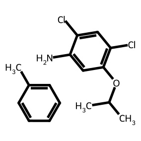 CC(C)Oc1cc(N)c(Cl)cc1Cl.Cc1ccccc1